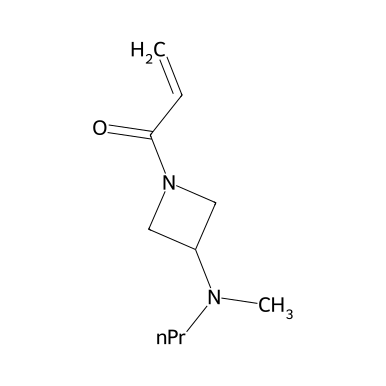 C=CC(=O)N1CC(N(C)CCC)C1